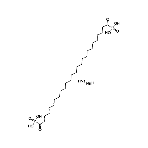 O=C(CCCCCCCCCCCCCCCCCCCCCCCCC(=O)P(=O)(O)O)P(=O)(O)O.[NaH].[NaH]